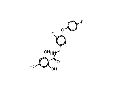 O=C(NCc1ccc(Oc2ccc(F)cc2)c(F)c1)c1c(O)cc(O)cc1O